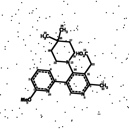 COc1cccc(-c2cnc(C)c(CC(=O)O)c2N2CCC(C)(C)CC2)n1